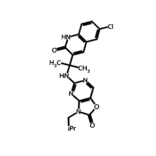 CC(C)Cn1c(=O)oc2cnc(NC(C)(C)c3cc4cc(Cl)ccc4[nH]c3=O)nc21